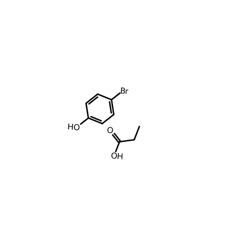 CCC(=O)O.Oc1ccc(Br)cc1